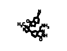 Cn1ncc(-c2ccc3c(=O)[nH]nc(CN)c3c2)c1N1Cc2ccc(C#N)cc2C1=O